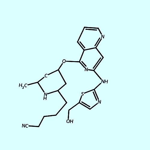 CC1CC(Oc2nc(Nc3ncc(CO)s3)cc3ncccc23)CC(CCCCC#N)N1